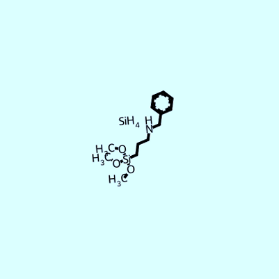 CO[Si](CCCNCc1ccccc1)(OC)OC.[SiH4]